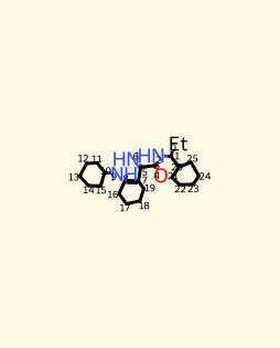 CCC(NC(=O)C(=N)C1=C(NC2CCCCC2)CCCC1)C1CCCCC1